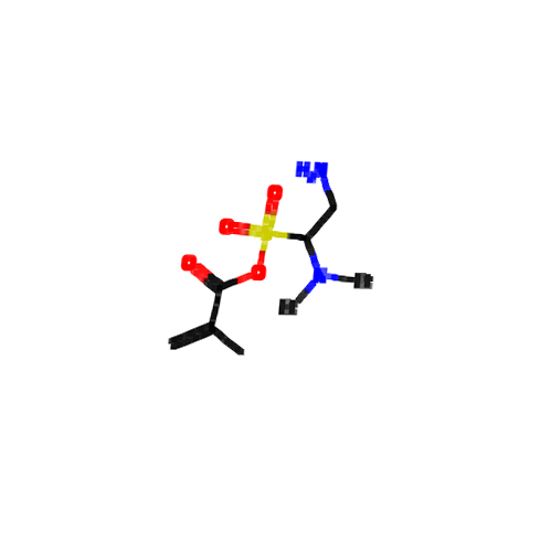 C=C(C)C(=O)OS(=O)(=O)C(CN)N(CC)CC